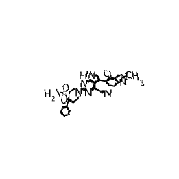 Cn1cc2c(Cl)c(-c3c[nH]c4nc(N5CCC(OC(N)=O)(c6ccccc6)CC5)nc(C#N)c34)ccc2n1